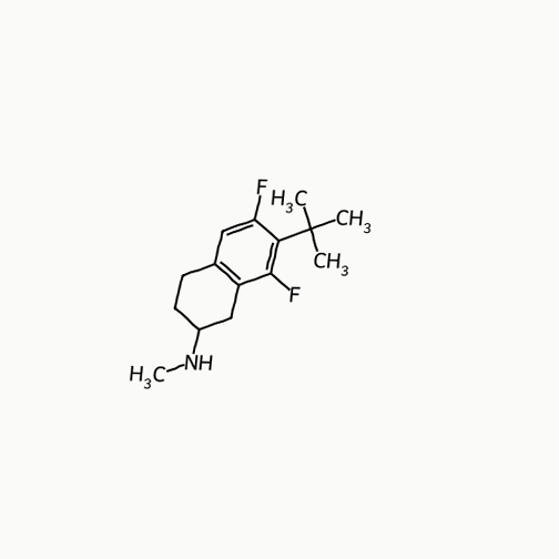 CNC1CCc2cc(F)c(C(C)(C)C)c(F)c2C1